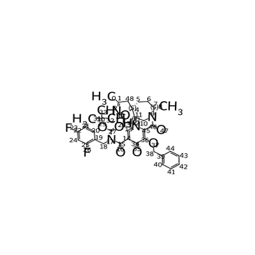 CC1=NO[C@@]2(CC[C@H](C)N3C[C@H]2n2cc(C(=O)N(Cc4ccc(F)cc4F)C(=O)OC(C)(C)C)c(=O)c(OCc4ccccc4)c2C3=O)C1